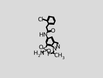 CC(F)n1ncc2cc(NC(=O)Cc3ccccc3Cl)cc(S(N)(=O)=O)c21